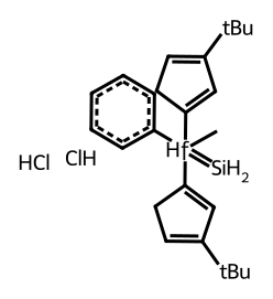 CC(C)(C)C1=CC[C]([Hf]([CH3])(=[SiH2])([C]2=CC(C(C)(C)C)=CC2)[c]2ccccc2)=C1.Cl.Cl